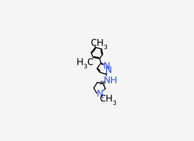 Cc1ccc(-c2ccc(N[C@@H]3CCCN(C)C3)nn2)c(C)c1